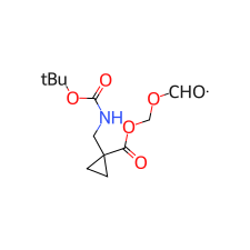 CC(C)(C)OC(=O)NCC1(C(=O)OCO[C]=O)CC1